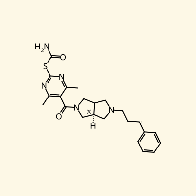 Cc1nc(SC(N)=O)nc(C)c1C(=O)N1CC2CN(CC[CH]c3ccccc3)C[C@H]2C1